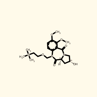 COc1ccc2c(c1OC)C(=O)N1C[C@H](O)C[C@H]1C(=O)N2COCC[Si](C)(C)C